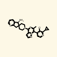 Cc1nc(N2CCC3(CC2)Cc2ncccc2[C@H]3N)c2ccnn2c1-c1ccnc(C2CC2)c1Cl